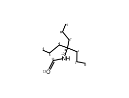 CCCC(CCC)(CCC)NC=O